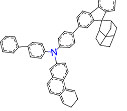 C1=c2ccc3cc(N(c4ccc(-c5ccccc5)cc4)c4ccc(-c5ccc6c(c5)C5(c7ccccc7-6)C6CC7CC(C6)CC5C7)cc4)ccc3c2=CCC1